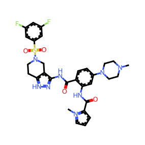 CN1CCN(c2ccc(C(=O)Nc3n[nH]c4c3CN(S(=O)(=O)c3cc(F)cc(F)c3)CC4)c(NC(=O)c3cccn3C)c2)CC1